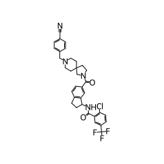 N#Cc1ccc(CN2CCC3(CC2)CCN(C(=O)c2ccc4c(c2)C(NC(=O)c2cc(C(F)(F)F)ccc2Cl)CC4)C3)cc1